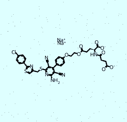 N#Cc1c(N)nc(SCc2csc(-c3ccc(Cl)cc3)n2)c(C#N)c1-c1ccc(OCCOC(=O)CC[C@H](NC(=O)CCC(=O)[O-])C(=O)[O-])cc1.[Na+].[Na+]